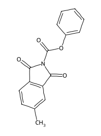 Cc1ccc2c(c1)C(=O)N(C(=O)Oc1ccccc1)C2=O